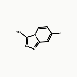 CC(C)(C)c1nnc2cc(F)ccn12